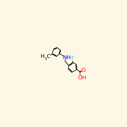 Cc1cccc(NCc2ccc(C(=O)O)cc2F)c1